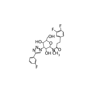 CN(C(=O)CCc1ccc(F)c(F)c1)C1OC(CO)C(O)C(n2cc(-c3cccc(F)c3)nn2)C1O